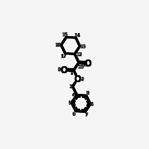 O=C(OCc1ccccc1)C(=O)C1CCCCC1